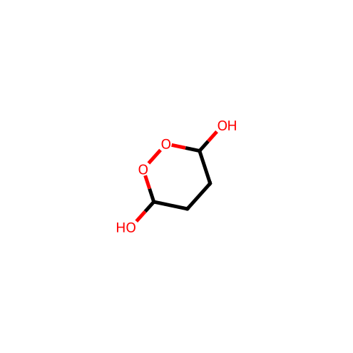 OC1CCC(O)OO1